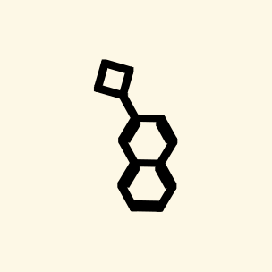 c1ccc2cc([C]3CCC3)ccc2c1